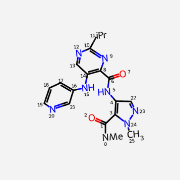 CNC(=O)c1c(NC(=O)c2nc(C(C)C)ncc2Nc2cccnc2)cnn1C